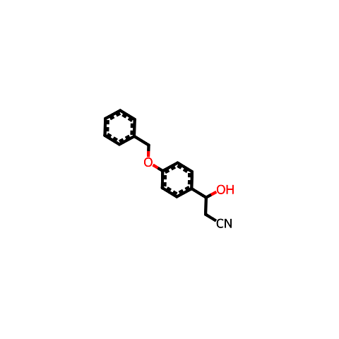 N#CCC(O)c1ccc(OCc2ccccc2)cc1